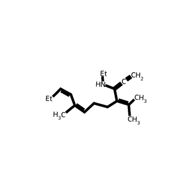 C=C=C(NCC)C(CC/C=C(C)\C=C/CC)=C(C)C